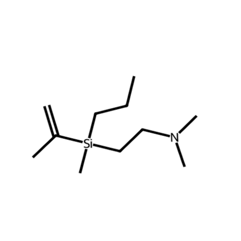 C=C(C)[Si](C)(CCC)CCN(C)C